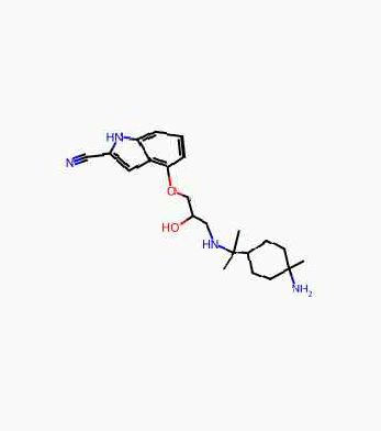 CC1(N)CCC(C(C)(C)NCC(O)COc2cccc3[nH]c(C#N)cc23)CC1